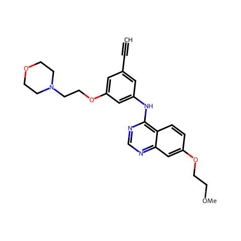 C#Cc1cc(Nc2ncnc3cc(OCCOC)ccc23)cc(OCCN2CCOCC2)c1